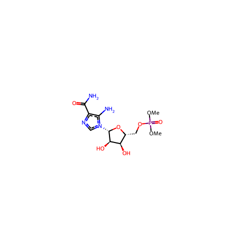 COP(=O)(OC)OC[C@H]1O[C@@H](n2cnc(C(N)=O)c2N)[C@H](O)[C@@H]1O